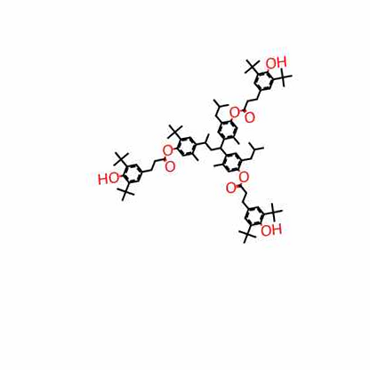 Cc1cc(OC(=O)CCc2cc(C(C)(C)C)c(O)c(C(C)(C)C)c2)c(C(C)(C)C)cc1C(C)CC(c1cc(CC(C)C)c(OC(=O)CCc2cc(C(C)(C)C)c(O)c(C(C)(C)C)c2)cc1C)c1cc(CC(C)C)c(OC(=O)CCc2cc(C(C)(C)C)c(O)c(C(C)(C)C)c2)cc1C